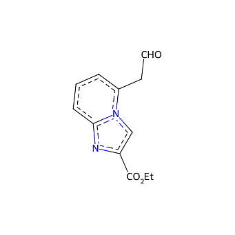 CCOC(=O)c1cn2c(CC=O)cccc2n1